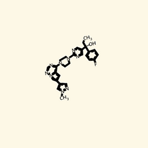 CC[C@@](O)(c1ccc(F)cc1)c1cnc(N2CCN(c3ncnn4cc(-c5cnn(C)c5)cc34)CC2)nc1